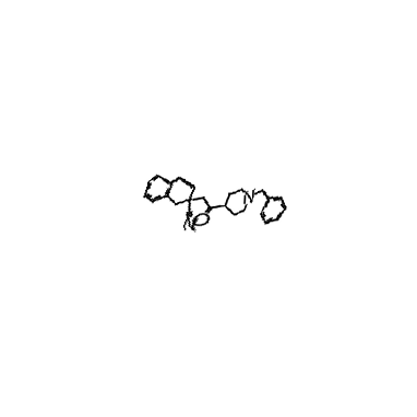 N#CC1(CC(=O)C2CCN(Cc3ccccc3)CC2)C=Cc2ccccc2C1